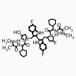 CN[C@@H](C)C(=O)N[C@H](C(=O)N1C[C@@H](O)C[C@H]1Cc1c(-c2[nH]c3cc(F)ccc3c2C[C@@H]2C[C@H](F)CN2C(=O)[C@@H](NC(=O)[C@H](C)NC)C2CCCCC2)[nH]c2cc(F)ccc12)C1CCCCC1